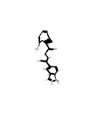 Cc1ccccc1C(=O)CCC(=O)c1c#cc2[nH]ncc2c1